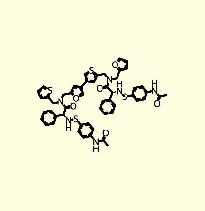 CC(=O)Nc1ccc(SN[C@H](C(=O)N(Cc2cc(-c3csc(CN(Cc4ccco4)C(=O)[C@H](NSc4ccc(NC(C)=O)cc4)c4ccccc4)c3)co2)Cc2cccs2)c2ccccc2)cc1